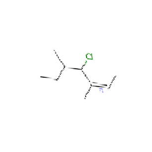 C/C=C(/C)C(Cl)C(C)CC